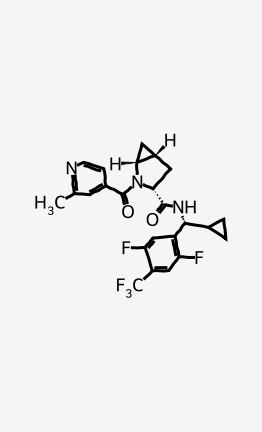 Cc1cc(C(=O)N2[C@@H](C(=O)N[C@@H](c3cc(F)c(C(F)(F)F)cc3F)C3CC3)C[C@H]3C[C@H]32)ccn1